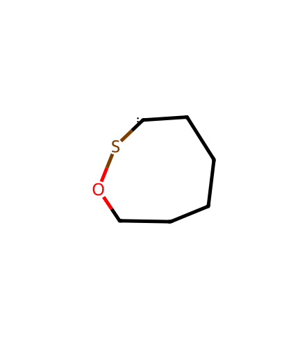 [C]1CCCCCOS1